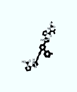 COC(=O)N[C@H](C(=O)N1CCC[C@H]1c1ncc(-c2ccc(C#CC#Cc3cnc([C@@H]4CCCN4C(=O)O)[nH]3)c(-c3cccc(C)c3)c2)[nH]1)C(C)C